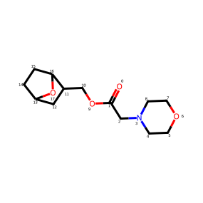 O=C(CN1CCOCC1)OCC1CC2CCC1O2